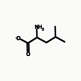 CC(C)CC(N)C([O])=O